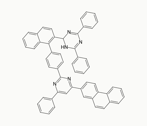 c1ccc(C2=NC(c3ccc4ccccc4c3-c3ccc(-c4nc(-c5ccccc5)cc(-c5ccc6c(ccc7ccccc76)c5)n4)cc3)NC(c3ccccc3)=N2)cc1